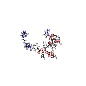 CO[C@H]1CC2C=C[C@@H]3C[C@]2(O[C@H]3[C@H](OC(=O)c2ccc[nH]2)[C@H](C)[C@H](C)O)/C(C)=C/[C@@H](C)[C@@H]([C@@H](C)OC(=O)c2cccc(C[N+]34CC[N+](CCC[N+]56CCN(CC5)CC6)(CC3)CC4)c2)OC1=O